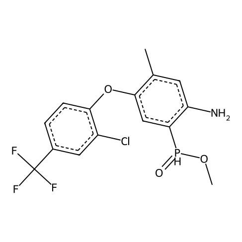 CO[PH](=O)c1cc(Oc2ccc(C(F)(F)F)cc2Cl)c(C)cc1N